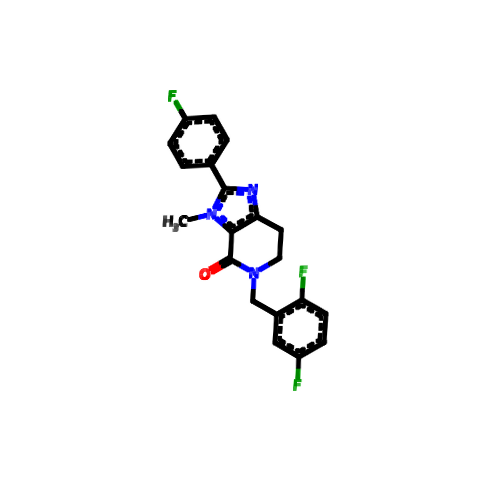 Cn1c(-c2ccc(F)cc2)nc2c1C(=O)N(Cc1cc(F)ccc1F)CC2